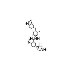 Cc1cc(Nc2ncnc3ccc(N4CCNC[C@@H]4C)cc23)ccc1Cc1ccc2c(c1)ncn2C